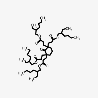 CCCCC(CC)COC(=O)CCC1(CCC(=O)OCC(CC)CCCC)CCCC(CCC(=O)OCC(CC)CCCC)(CCC(=O)OCC(CC)CCCC)C1=O